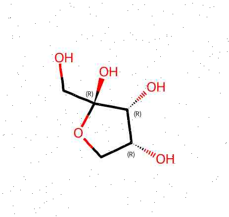 OC[C@@]1(O)OC[C@@H](O)[C@H]1O